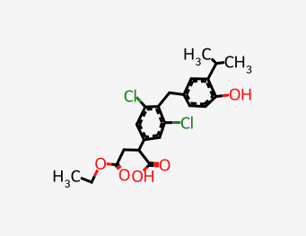 CCOC(=O)CC(C(=O)O)c1cc(Cl)c(Cc2ccc(O)c(C(C)C)c2)c(Cl)c1